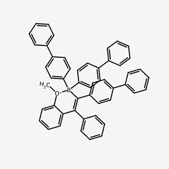 C[O+]1c2ccccc2C(c2ccccc2)=C(c2ccc(-c3ccccc3)cc2)[B-]1(c1ccc(-c2ccccc2)cc1)c1ccc(-c2ccccc2)cc1